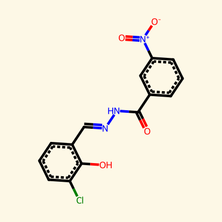 O=C(N/N=C/c1cccc(Cl)c1O)c1cccc([N+](=O)[O-])c1